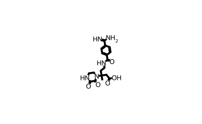 CC(CCNC(=O)c1ccc(C(=N)N)cc1)(CC(=O)O)N1CCNC(=O)C1=O